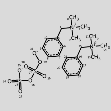 C[N+](C)(C)Cc1ccccc1.C[N+](C)(C)Cc1ccccc1.O=S(=O)([O-])OS(=O)(=O)O[O-]